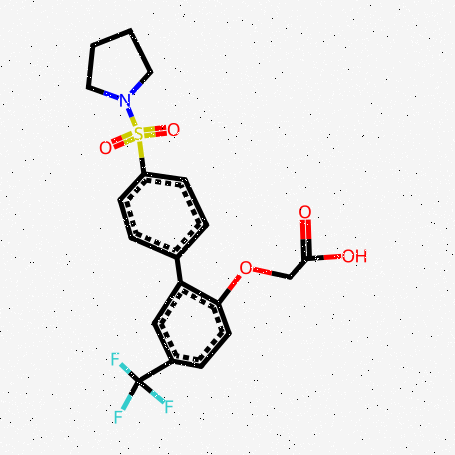 O=C(O)COc1ccc(C(F)(F)F)cc1-c1ccc(S(=O)(=O)N2CCCC2)cc1